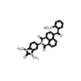 Cn1c(=O)n(C)c2cc(N3C(=O)c4cccc5c(C(=O)c6ccccc6C(=O)O)ccc(c45)C3=O)ccc21